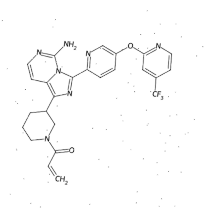 C=CC(=O)N1CCCC(c2nc(-c3ccc(Oc4cc(C(F)(F)F)ccn4)cn3)n3c(N)nccc23)C1